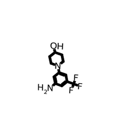 Nc1cc(N2CCC(O)CC2)cc(C(F)(F)F)c1